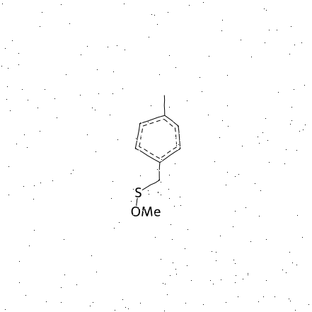 COSCc1ccc(C)cc1